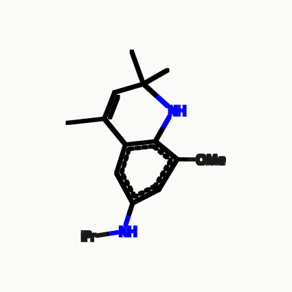 COc1cc(NC(C)C)cc2c1NC(C)(C)C=C2C